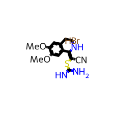 Br.COc1cc2c(cc1OC)C(=C(C#N)SC(=N)N)NCC2